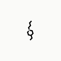 C[CH]C1CCN(CCCC)CC1